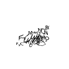 COc1ncc(Br)nc1C(=O)N[C@@H]1C2CCC(C2=C(C)C)[C@@H]1C(=O)Nc1ccc(F)c(C(F)(F)F)c1